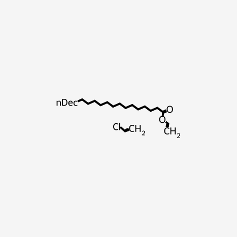 C=CCl.C=COC(=O)CCCCCCCCCCCCCCCCCCCCCCC